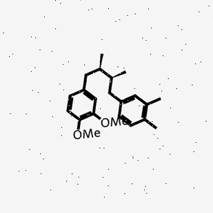 COc1ccc(C[C@@H](C)[C@@H](C)Cc2ccc(C)c(C)c2)cc1OC